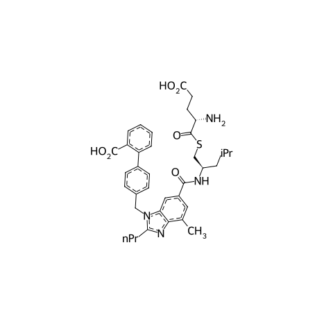 CCCc1nc2c(C)cc(C(=O)N[C@@H](CSC(=O)[C@@H](N)CCC(=O)O)CC(C)C)cc2n1Cc1ccc(-c2ccccc2C(=O)O)cc1